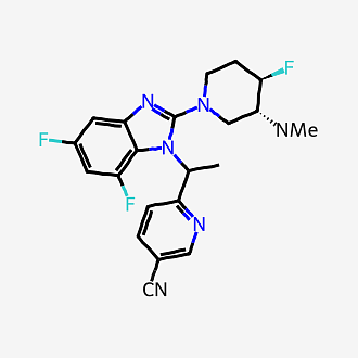 CN[C@@H]1CN(c2nc3cc(F)cc(F)c3n2C(C)c2ccc(C#N)cn2)CC[C@H]1F